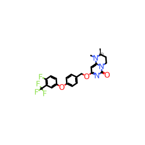 C[C@H]1CCn2c(cc(OCc3ccc(Oc4ccc(F)c(C(F)(F)F)c4)cc3)nc2=O)N1C